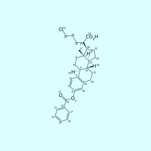 C[C@]12CC[C@@H]3c4ccc(OC(=O)c5ccccc5)cc4CC[C@H]3[C@@H]1CC[C@@H]2C(CCCCl)C(=O)O